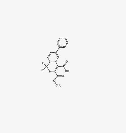 COC(=O)C1=C(C(=O)O)N2C=C(c3ccccc3)C=CC2C(F)(F)S1